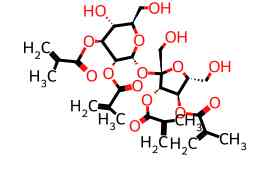 C=C(C)C(=O)O[C@@H]1[C@@H](CO)O[C@@](CO)(O[C@H]2O[C@H](CO)[C@@H](O)[C@H](OC(=O)C(=C)C)[C@H]2OC(=O)C(=C)C)[C@H]1OC(=O)C(=C)C